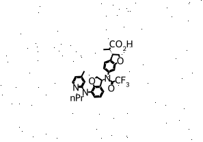 CCCN(c1cc(C)ccn1)c1cccc2c1OC[C@H]2N(C(=O)C(F)(F)F)c1ccc2c(c1)OC[C@H]2C(C)C(=O)O